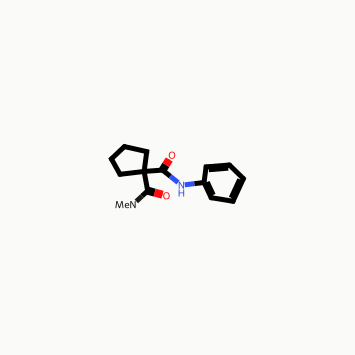 CNC(=O)C1(C(=O)Nc2ccccc2)CCCC1